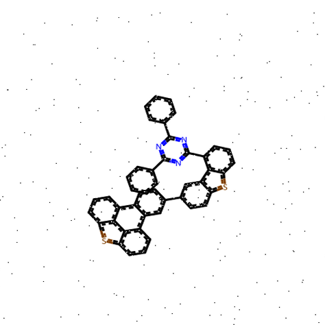 c1ccc(-c2nc(-c3ccccc3)nc(-c3cccc4sc5ccc(-c6ccc7c(c6)c6cccc8sc9cccc7c9c86)cc5c34)n2)cc1